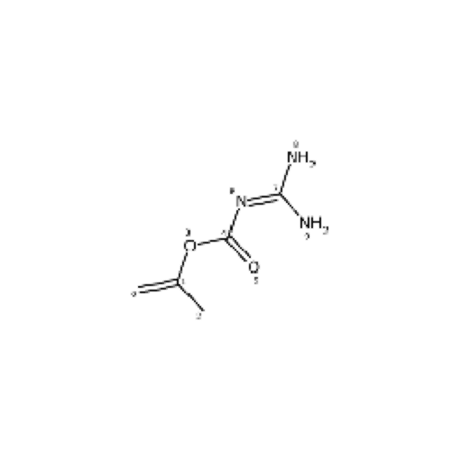 C=C(C)OC(=O)N=C(N)N